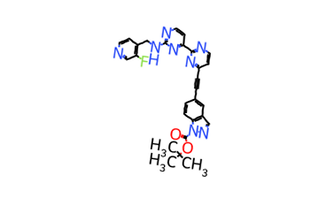 CC(C)(C)OC(=O)n1ncc2cc(C#Cc3ccnc(-c4ccnc(NCc5ccncc5F)n4)n3)ccc21